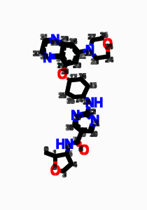 CC1OCCC1NC(=O)c1cnc(N[C@H]2CC[C@@H](Oc3cc(N4CCOCC4)cc4nccnc34)CC2)nc1